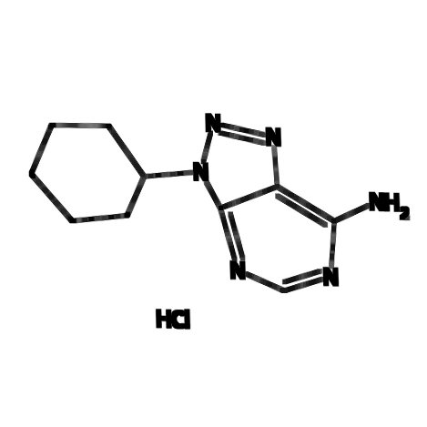 Cl.Nc1ncnc2c1nnn2C1CCCCC1